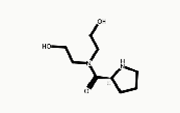 O=C([C@@H]1CCCN1)N(CCO)CCO